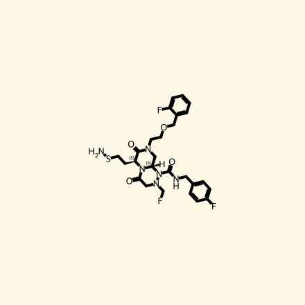 NSCC[C@H]1C(=O)N(CCOCc2ccccc2F)C[C@H]2N1C(=O)CN(CF)N2C(=O)NCc1ccc(F)cc1